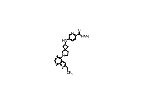 CNC(=O)c1ccc(NC2CC3(CCN(c4ncnc5sc(CC(F)(F)F)cc45)C3)C2)cn1